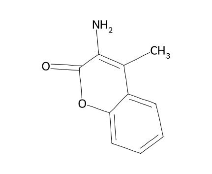 Cc1c(N)c(=O)oc2ccccc12